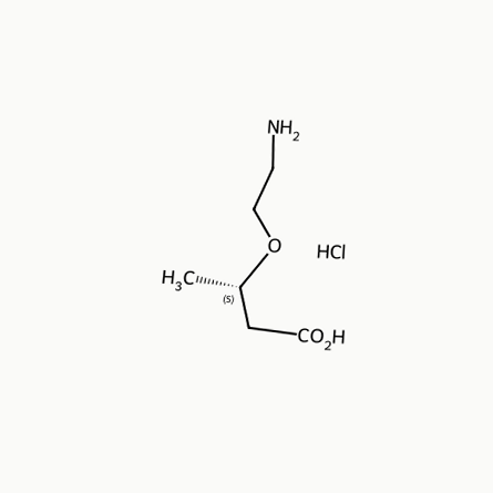 C[C@@H](CC(=O)O)OCCN.Cl